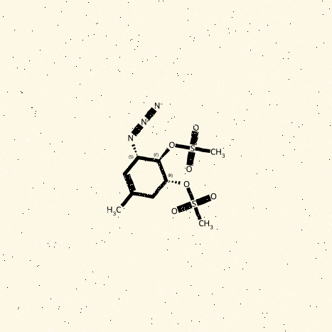 CC1=C[C@H](N=[N+]=[N-])[C@@H](OS(C)(=O)=O)[C@H](OS(C)(=O)=O)C1